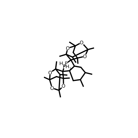 CC1CC(C2(P)C3(C)CC4(C)OC(C)(O3)C(C)C2(C)O4)C(C2(P)C3(C)CC4(C)OC(C)(O3)C(C)C2(C)O4)CC1C